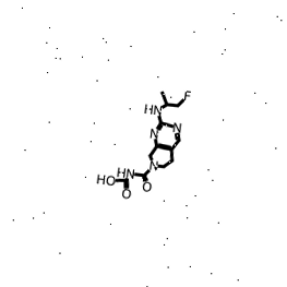 CC(CF)Nc1ncc2c(n1)CN(C(=O)NC(=O)O)CC2